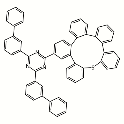 c1ccc(-c2cccc(-c3nc(-c4cccc(-c5ccccc5)c4)nc(-c4ccc5c(c4)-c4ccccc4Sc4ccccc4-c4ccccc4-c4ccccc4-5)n3)c2)cc1